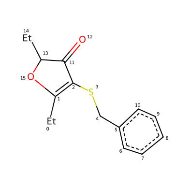 CCC1=C(SCc2ccccc2)C(=O)C(CC)O1